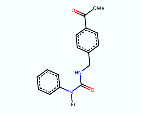 CCN(C(=O)NCc1ccc(C(=O)OC)cc1)c1ccccc1